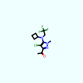 CC(=O)c1nn(C)c(N(CC(F)(F)F)C2CCC2)c1Cl